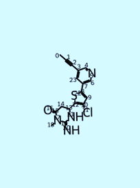 CC#Cc1cncc(-c2cc(Cl)c([C@@H]3CC(=O)N(C)C(=N)N3)s2)c1